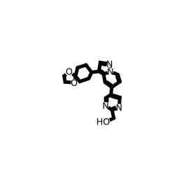 OCc1ncc(-c2ccn3ncc(C4CCC5(CC4)OCCO5)c3c2)cn1